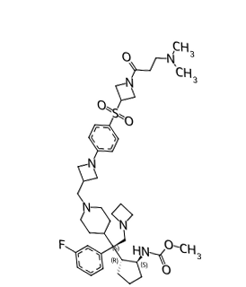 COC(=O)N[C@H]1CCC[C@@H]1[C@](CN1CCC1)(c1cccc(F)c1)C1CCN(CC2CN(c3ccc(S(=O)(=O)C4CN(C(=O)CCN(C)C)C4)cc3)C2)CC1